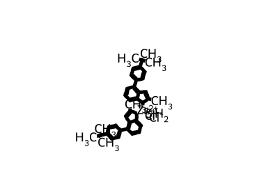 CC1=Cc2c(-c3ccc(C(C)(C)C)cc3)cccc2[CH]1[Zr+2](=[SiH2])[CH]1C(C)=Cc2c(-c3ccc(C(C)(C)C)cc3)cccc21.[Cl-].[Cl-]